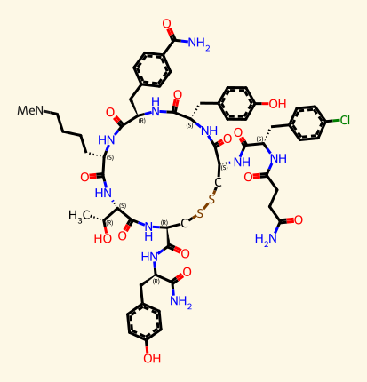 CNCCCC[C@@H]1NC(=O)[C@@H](Cc2ccc(C(N)=O)cc2)NC(=O)[C@H](Cc2ccc(O)cc2)NC(=O)[C@H](NC(=O)[C@H](Cc2ccc(Cl)cc2)NC(=O)CCC(N)=O)CSSC[C@@H](C(=O)N[C@H](Cc2ccc(O)cc2)C(N)=O)NC(=O)[C@H]([C@@H](C)O)NC1=O